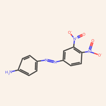 Nc1ccc(N=Nc2ccc([N+](=O)[O-])c([N+](=O)[O-])c2)cc1